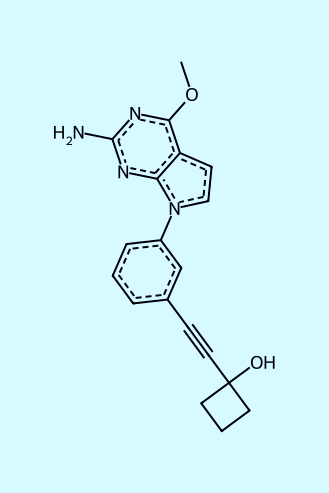 COc1nc(N)nc2c1ccn2-c1cccc(C#CC2(O)CCC2)c1